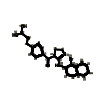 O=C(c1ccc(CON(O)O)cc1)N1CCN=C1Nc1ccc2nccnc2c1Br